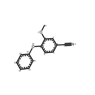 COc1cc(C#N)ccc1Oc1ccccc1